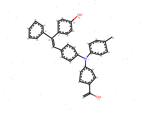 C=C(O)c1ccc(N(c2ccc(C)cc2)c2ccc(C=C(c3ccccc3)c3ccc(O)cc3)cc2)cc1